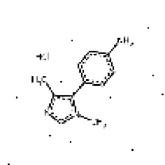 Cc1ncn(C)c1-c1ccc(N)cc1.Cl